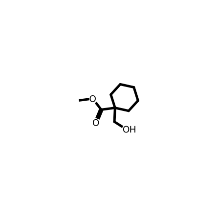 COC(=O)C1(CO)CCCCC1